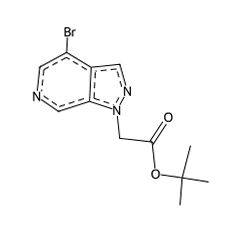 CC(C)(C)OC(=O)Cn1ncc2c(Br)cncc21